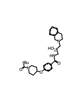 CC(C)(C)C(=O)N1CCC(Oc2ccc(C(=O)NC[C@H](O)CN3CCc4ccccc4C3)cc2)CC1